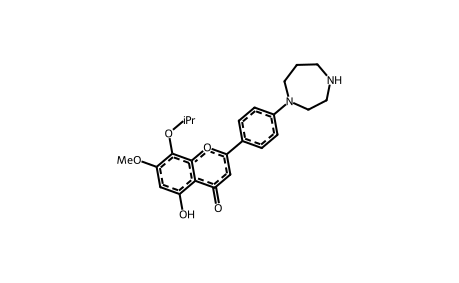 COc1cc(O)c2c(=O)cc(-c3ccc(N4CCCNCC4)cc3)oc2c1OC(C)C